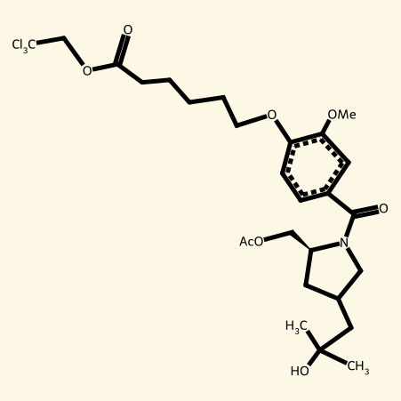 COc1cc(C(=O)N2CC(CC(C)(C)O)C[C@H]2COC(C)=O)ccc1OCCCCCC(=O)OCC(Cl)(Cl)Cl